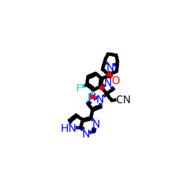 N#CCC1(n2cc(-c3ncnc4[nH]ccc34)cn2)CN(C2CC3CCC(C2)N3C(=O)c2ccc(F)c(F)c2)C1